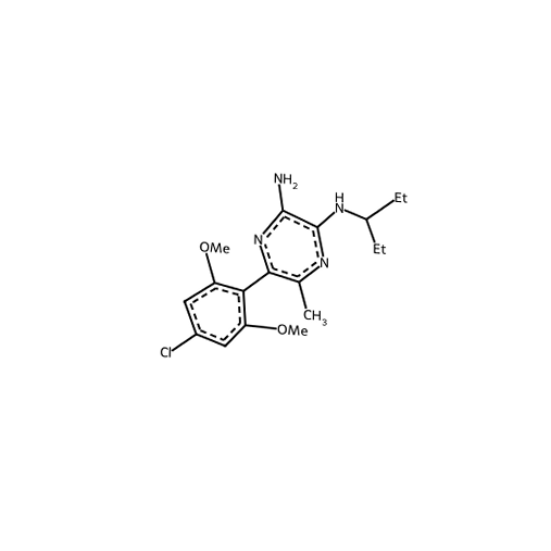 CCC(CC)Nc1nc(C)c(-c2c(OC)cc(Cl)cc2OC)nc1N